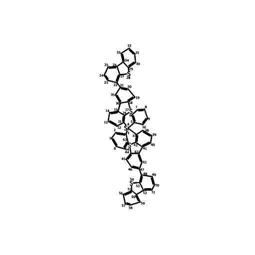 c1ccc([Si](c2ccccc2)(c2cccc3c2sc2ccc(-c4cccc5c4sc4ccccc45)cc23)c2cccc3c2sc2ccc(-c4cccc5c4sc4ccccc45)cc23)cc1